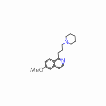 COc1ccc2c(CCCN3CCCCC3)nccc2c1